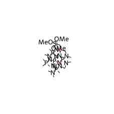 CO[Si](CCCN(C)P(=N[PH](N=P(C)(C)C)(N=P(C)(N(C)C)N(C)C)N=P(C)(N(C)C)N(C)C)(N(C)C)N(C)C)(OC)OC